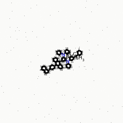 CC(C)(c1ccccc1)c1ccc2c(c1)B1c3ccccc3N(c3ccccc3)c3cc(-c4c5ccccc5c(-c5ccc(-c6cccc7ccccc67)cc5)c5ccccc45)cc(c31)N2c1ccccc1